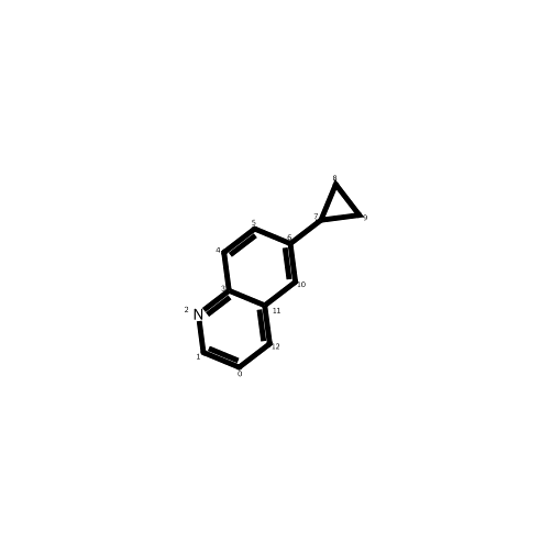 c1cnc2ccc([C]3CC3)cc2c1